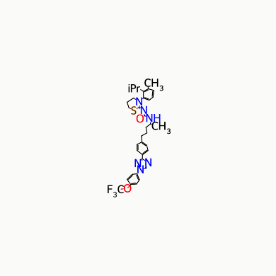 Cc1cccc(N2CCCS/C2=N\C(=O)NC(C)CCCc2ccc(-c3ncn(-c4ccc(OC(F)(F)F)cc4)n3)cc2)c1C(C)C